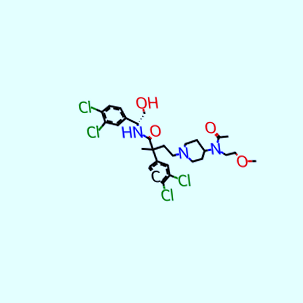 COCCN(C(C)=O)C1CCN(CCC(C)(C(=O)N[C@@H](CO)c2ccc(Cl)c(Cl)c2)c2ccc(Cl)c(Cl)c2)CC1